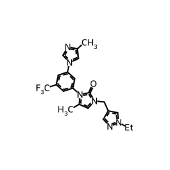 CCn1cc(Cn2cc(C)n(-c3cc(-n4cnc(C)c4)cc(C(F)(F)F)c3)c2=O)cn1